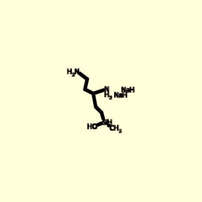 C[SiH](O)CCC(N)CCN.[NaH].[NaH]